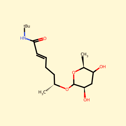 C[C@H](CC/C=C/C(=O)NC(C)(C)C)OC1O[C@@H](C)C(O)C[C@H]1O